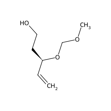 C=C[C@@H](CCO)OCOC